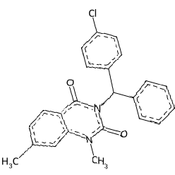 Cc1ccc2c(=O)n(C(c3ccccc3)c3ccc(Cl)cc3)c(=O)n(C)c2c1